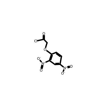 O=C(Cl)COc1ccc([N+](=O)[O-])cc1[N+](=O)[O-]